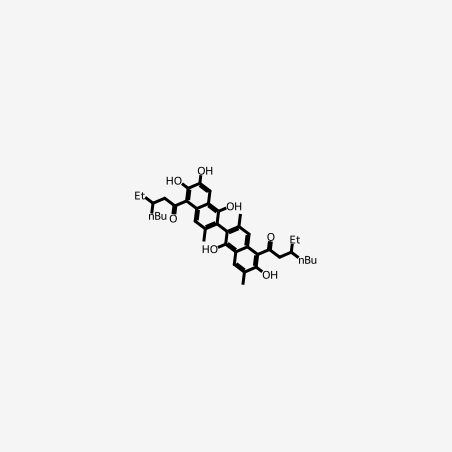 CCCCC(CC)CC(=O)c1c(O)c(C)cc2c(O)c(-c3c(C)cc4c(C(=O)CC(CC)CCCC)c(O)c(O)cc4c3O)c(C)cc12